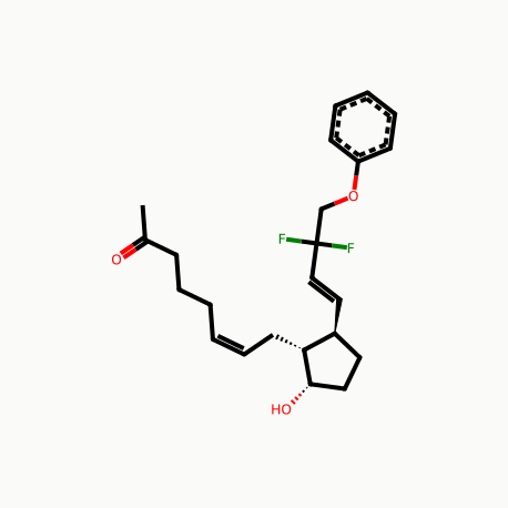 CC(=O)CCC/C=C\C[C@H]1[C@@H](O)CC[C@@H]1/C=C/C(F)(F)COc1ccccc1